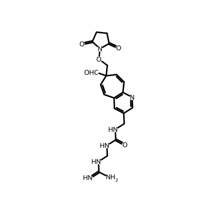 N=C(N)NCNC(=O)NCc1cnc2c(c1)C=CC(C=O)(CON1C(=O)CCC1=O)C=C2